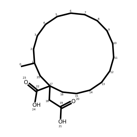 CC1CCCCCCCCCCCCCCCC(CC(=O)O)(C(=O)O)C1